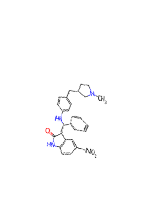 CN1CCC(Cc2ccc(N/C(=C3\C(=O)Nc4ccc([N+](=O)[O-])cc43)c3ccccc3)cc2)C1